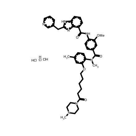 COc1cc(C(=O)N(C)c2ccc(C)cc2OCCCCCC(=O)N2CCN(C)CC2)ccc1NC(=O)c1cccc2[nH]c(Cc3cccnc3)nc12.Cl.Cl.Cl